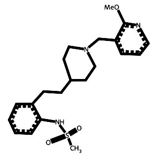 COc1ncccc1CN1CCC(CCc2ccccc2NS(C)(=O)=O)CC1